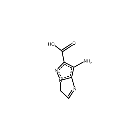 Nc1c(C(=O)O)nn2c1N=CC2